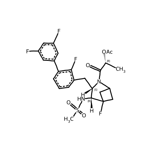 CC(=O)O[C@H](C)C(=O)N1C2CC(F)(C2)[C@H](NS(C)(=O)=O)[C@@H]1Cc1cccc(-c2cc(F)cc(F)c2)c1F